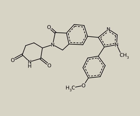 COc1ccc(-c2c(-c3ccc4c(c3)CN(C3CCC(=O)NC3=O)C4=O)ncn2C)cc1